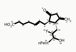 C=C1CC(=O)[C@H](CC=CCCCC(=O)O)[C@H]1C[C@H](F)[C@@H](O)CCCCC